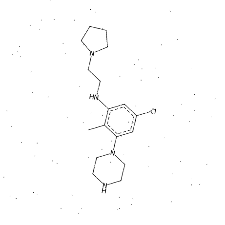 Cc1c(NCCN2CCCC2)cc(Cl)cc1N1CCNCC1